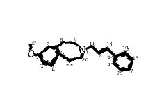 COc1ccc2c(c1)CCN(CC=Cc1ccccc1)CC2